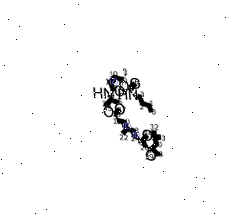 CCCCNC(=O)O[C@@H](C)/C=C\C(=O)N[C@H]1CO[C@@H](C/C=C(C)/C=C/[C@@H]2C[C@]3(CO3)CC(C)(C)O2)OC1